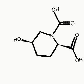 O=C(O)[C@H]1CC[C@@H](O)CN1C(=O)O